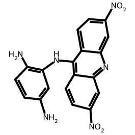 Nc1ccc(N)c(Nc2c3ccc([N+](=O)[O-])cc3nc3cc([N+](=O)[O-])ccc23)c1